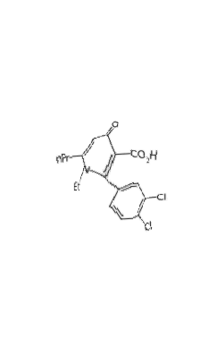 CCCc1cc(=O)c(C(=O)O)c(-c2ccc(Cl)c(Cl)c2)n1CC